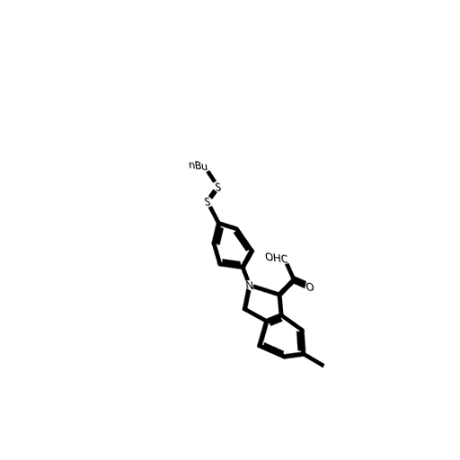 CCCCSSc1ccc(N2Cc3ccc(C)cc3C2C(=O)C=O)cc1